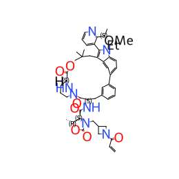 C=CC(=O)N1CC(CN2C(=O)O[C@H](C)[C@H]2C(=O)N[C@H]2Cc3cccc(c3)-c3ccc4c(c3)c(c(-c3cccnc3[C@H](C)OC)n4CC)CC(C)(C)COC(=O)[C@@H]3CCCN(N3)C2=O)C1